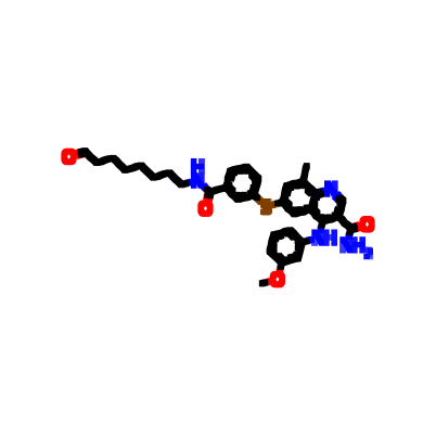 COc1cccc(Nc2c(C(N)=O)cnc3c(C)cc(Sc4cccc(C(=O)NCCCCCCCC=O)c4)cc23)c1